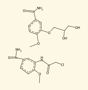 COc1ccc(C(N)=O)cc1NC(=O)CCl.COc1ccc(C(N)=O)cc1OCC(O)CO